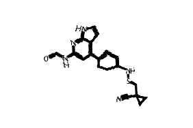 N#CC1(CSNC2CC=C(c3cc(NC=O)nc4[nH]ccc34)CC2)CC1